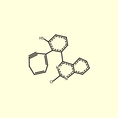 Sc1cccc(-c2nc(Cl)nc3ccccc23)c1C1=CC=CCC#C1